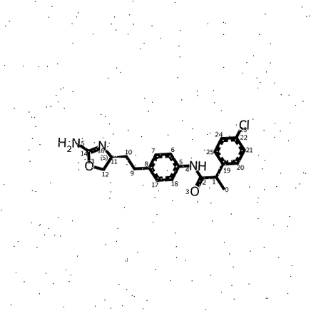 CC(C(=O)Nc1ccc(CC[C@H]2COC(N)=N2)cc1)c1ccc(Cl)cc1